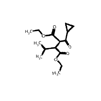 CCOC(=O)C(C(=O)C1CC1)C(C(=O)OCC)C(C)C